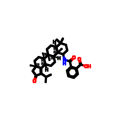 CC(C)C1=C2[C@H]3CC[C@@H]4[C@@]5(C)C(NC(=O)c6ccccc6C(=O)O)CCC(C)(C)[C@@H]5CC[C@@]4(C)[C@]3(C)CC[C@@]2(C)CC1=O